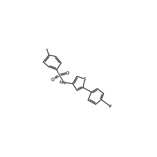 Cc1ccc(S(=O)(=O)Nc2csc(-c3ccc(F)cc3)c2)cc1